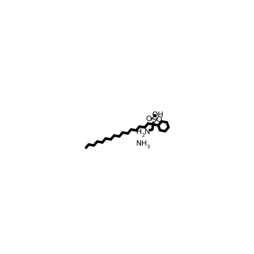 CCCCCCCCCCCCCCCCC(CN)(C1CCCCC1)S(=O)(=O)O.N